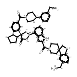 NCc1cccc(C2CCN(C(=O)c3cccc([C@@]4(C5CCCC5)OB(c5cccc6[nH]c(C(=O)N7CCC8(CC7)COc7ccc(CN)cc78)cc56)OC4=O)c3)CC2)c1